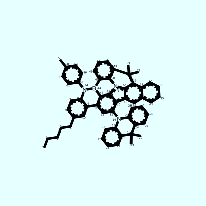 CCCCCc1ccc2c(c1)-c1cc(N3c4ccccc4C(C)(C)c4ccccc43)c3c4cc5ccccc5c5c4n4c3c1B(c1cccc(c1-4)C5(C)C)N2c1ccc(C)cc1